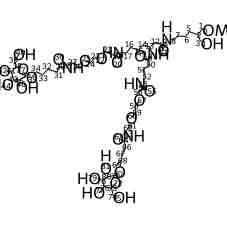 COCC(CO)CCCCNC(=O)C[C@H](CCCCNC(=O)COCCOCCNC(=O)CCCCO[C@@H]1OC(CO)[C@@H](O)[C@H](O)C1O)NC(=O)CCCNC(=O)COCCOCCNC(=O)CCCCO[C@@H]1OC(CO)[C@@H](O)[C@H](O)C1O